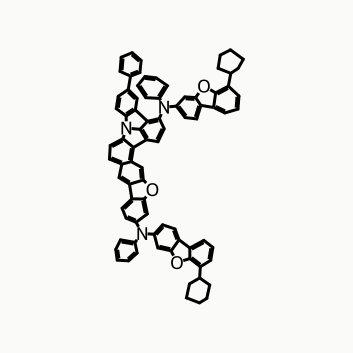 c1ccc(-c2ccc3c(c2)c2c(N(c4ccccc4)c4ccc5c(c4)oc4c(C6CCCCC6)cccc45)ccc4c5c6cc7oc8cc(N(c9ccccc9)c9ccc%10c(c9)oc9c(C%11CCCCC%11)cccc9%10)ccc8c7cc6ccc5n3c42)cc1